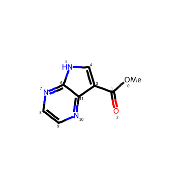 COC(=O)c1c[nH]c2nccnc12